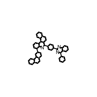 c1ccc(-c2nc(-c3ccc(-c4nc5c(-c6ccc7ccc8ccccc8c7c6)cccc5c5c4ccc4ccccc45)cc3)nc3ccccc23)cc1